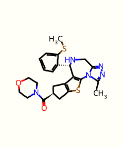 CSc1ccccc1[C@@H]1NCc2nnc(C)n2-c2sc3c(c21)C[C@H](C(=O)N1CCOCC1)C3